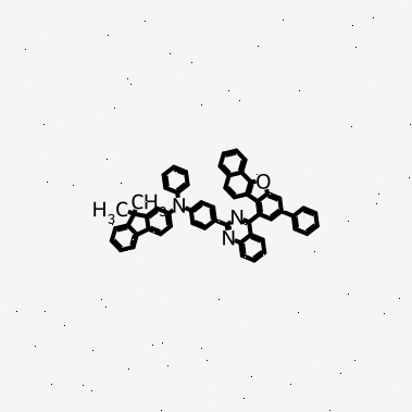 CC1(C)c2ccccc2-c2ccc(N(c3ccccc3)c3ccc(-c4nc(-c5cc(-c6ccccc6)cc6oc7c8ccccc8ccc7c56)c5ccccc5n4)cc3)cc21